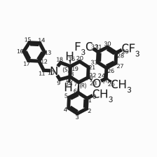 Cc1ccccc1[C@H]1[C@@H]2CN(Cc3ccccc3)C[C@H]2CC[C@@H]1O[C@H](C)c1cc(C(F)(F)F)cc(C(F)(F)F)c1